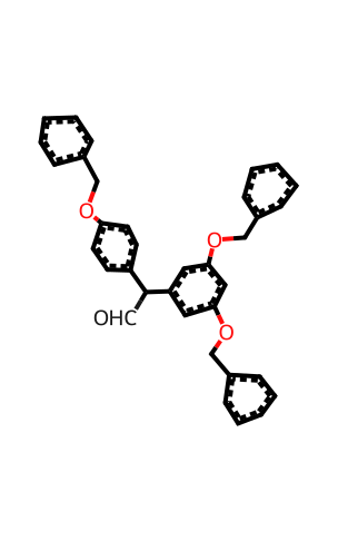 O=CC(c1ccc(OCc2ccccc2)cc1)c1cc(OCc2ccccc2)cc(OCc2ccccc2)c1